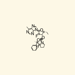 CC[C@H]1O[C@@H](n2cnc3c(C)ncnc32)[C@@H](F)C1O[P@@]1O[C@](C)(c2ccccc2)[C@@H]2CCCN21